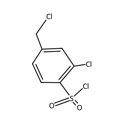 O=S(=O)(Cl)c1ccc(CCl)cc1Cl